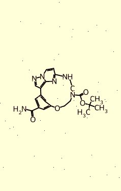 CC(C)(C)OC(=O)N1CCNc2ccn3ncc(c3n2)-c2cc(cc(C(N)=O)c2)OCC1